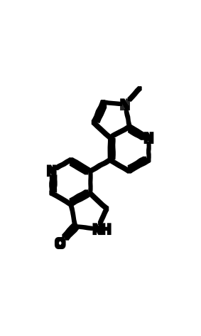 Cn1ccc2c(-c3cncc4c3CNC4=O)ccnc21